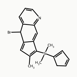 CC1=C([Si](C)(C)C2=CC=CC2)C2=Cc3ncccc3C(Br)C2=C1